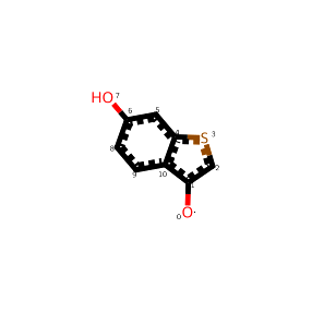 [O]c1csc2cc(O)ccc12